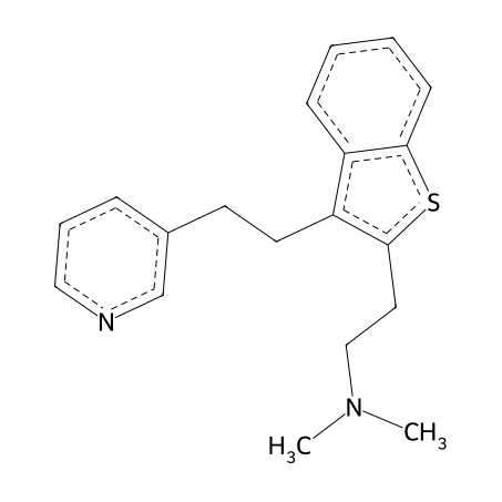 CN(C)CCc1sc2ccccc2c1CCc1cccnc1